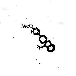 [2H]C1c2ccccc2CC12CCC(c1ccc(OC)nc1)CC2